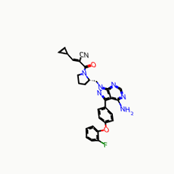 N#CC(=CC1CC1)C(=O)N1CCC[C@H]1Cn1nc(-c2ccc(Oc3ccccc3F)cc2)c2c(N)ncnc21